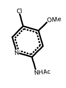 COc1cc(NC(C)=O)ncc1Cl